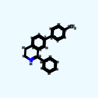 FC(F)(F)c1ccc(-c2ccc3c(c2)C(c2ccccc2)=NCC3)cc1